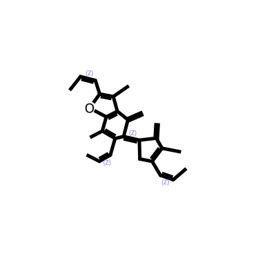 C=C1C(C)=C(/C=C\C)C/C1=c1\c(/C=C\C)c(C)c2oc(/C=C\C)c(C)c2c1=C